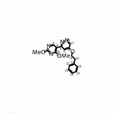 COc1ncc(-c2cc(OCCc3ccccc3)cnn2)c(OC)n1